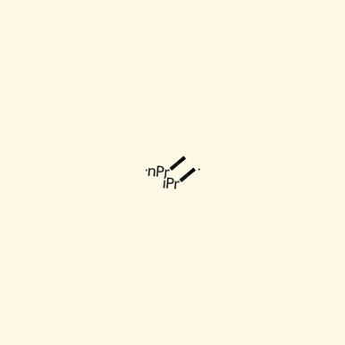 C[CH]CC.[CH2]C(C)C